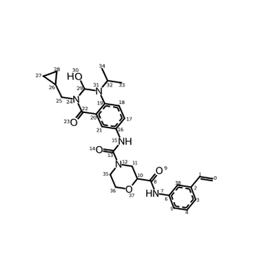 C=Cc1cccc(NC(=O)C2CN(C(=O)Nc3ccc4c(c3)C(=O)N(CC3CC3)C(O)N4C(C)C)CCO2)c1